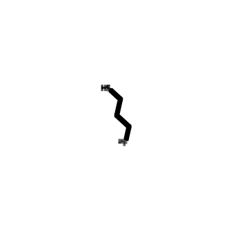 [18F]CCCS